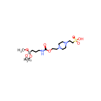 CO[Si](CCCNC(=O)OCCN1CCN(CCS(=O)(=O)O)CC1)(OC)OC